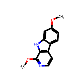 COc1ccc2c(c1)[nH]c1c(OC)nccc12